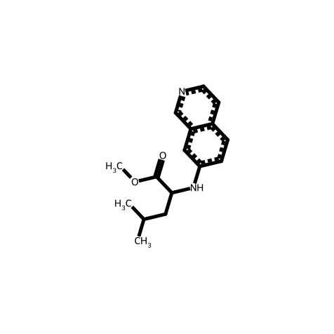 COC(=O)C(CC(C)C)Nc1ccc2ccncc2c1